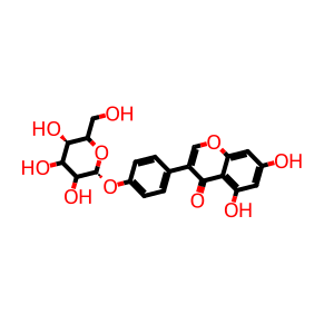 O=c1c(-c2ccc(O[C@H]3OC(CO)[C@H](O)C(O)C3O)cc2)coc2cc(O)cc(O)c12